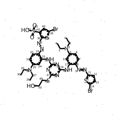 CCN(CC)c1ccc(/N=N/c2ccc(Br)s2)c(Nc2nc(Nc3cc(N(CC)CC)ccc3/N=N/c3sc(Br)cc3S(=O)(=O)O)nc(SCCO)n2)c1